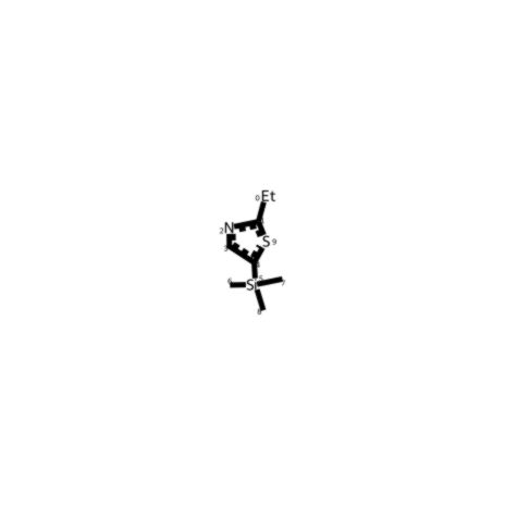 CCc1ncc([Si](C)(C)C)s1